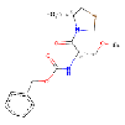 CC(C)(C)OC[C@H](NC(=O)OCc1ccccc1)C(=O)N1CSC[C@H]1C(=O)O